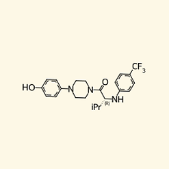 CC(C)[C@@H](Nc1ccc(C(F)(F)F)cc1)C(=O)N1CCN(c2ccc(O)cc2)CC1